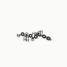 CN1CCN(c2ccc(NC=C3C(=O)Nc4cc(C(=O)c5cccc(NC(=O)Nc6cccc(C#N)c6)c5)ccc43)cc2)CC1